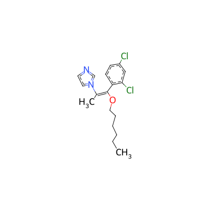 CCCCCCOC(=C(C)n1ccnc1)c1ccc(Cl)cc1Cl